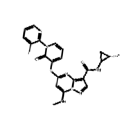 CNc1cc(Nc2cccn(-c3ncccc3F)c2=O)nc2c(C(=O)NC3C[C@@H]3F)cnn12